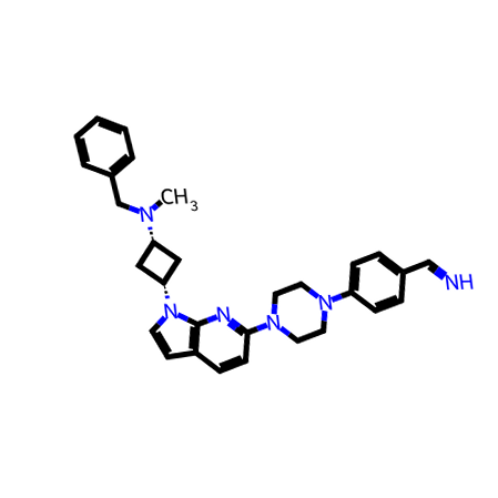 CN(Cc1ccccc1)[C@H]1C[C@@H](n2ccc3ccc(N4CCN(c5ccc(C=N)cc5)CC4)nc32)C1